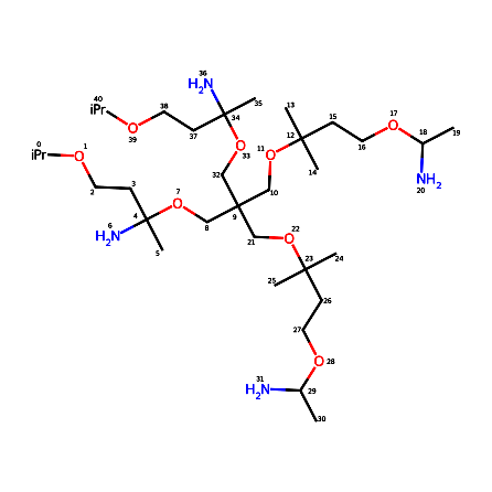 CC(C)OCCC(C)(N)OCC(COC(C)(C)CCOC(C)N)(COC(C)(C)CCOC(C)N)COC(C)(N)CCOC(C)C